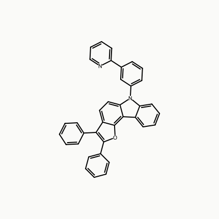 c1ccc(-c2oc3c(ccc4c3c3ccccc3n4-c3cccc(-c4ccccn4)c3)c2-c2ccccc2)cc1